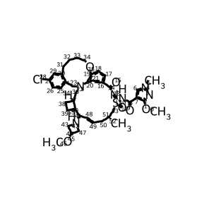 COc1nn(C)cc1C(=O)NS1(=O)=NC(=O)c2ccc3c(c2)N(Cc2ccc(Cl)cc2CCCCO3)C[C@@H]2CC[C@H]2C(N2CC(OC)C2)/C=C/C[C@H](C)C1